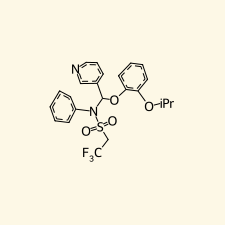 CC(C)Oc1ccccc1OC(c1cccnc1)N(c1ccccc1)S(=O)(=O)CC(F)(F)F